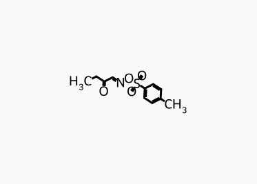 CCC(=O)C=NOS(=O)(=O)c1ccc(C)cc1